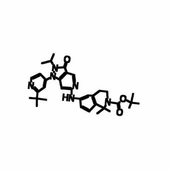 CC(C)n1c(=O)c2cnc(Nc3ccc4c(c3)CCN(C(=O)OC(C)(C)C)C4(C)C)cc2n1-c1ccnc(C(C)(C)C)c1